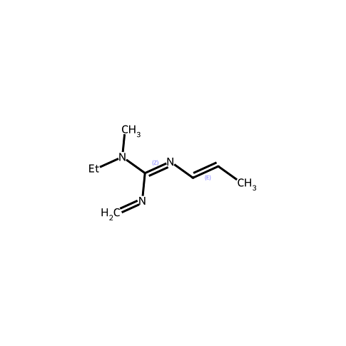 C=N/C(=N\C=C\C)N(C)CC